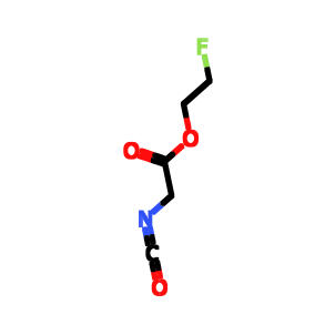 O=C=NCC(=O)OCCF